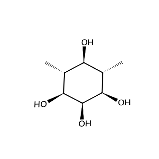 C[C@@H]1[C@@H](O)[C@H](C)[C@@H](O)[C@@H](O)[C@H]1O